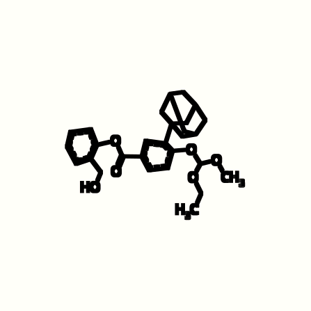 CCOC(OC)Oc1ccc(C(=O)Oc2ccccc2CO)cc1C12CC3CC(CC(C3)C1)C2